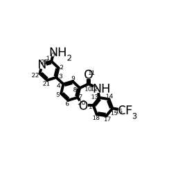 Nc1cc(-c2ccc3c(c2)C(=O)Nc2cc(C(F)(F)F)ccc2O3)ccn1